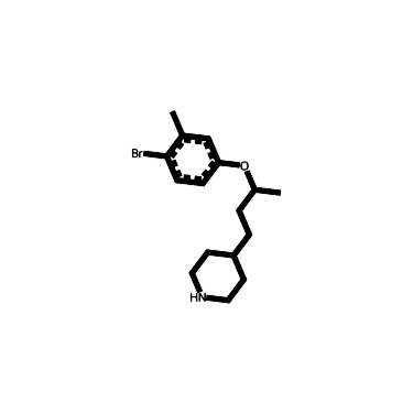 Cc1cc(OC(C)CCC2CCNCC2)ccc1Br